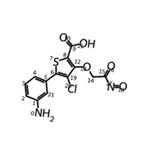 Nc1cccc(-c2sc(C(=O)O)c(OCC(=O)N=O)c2Cl)c1